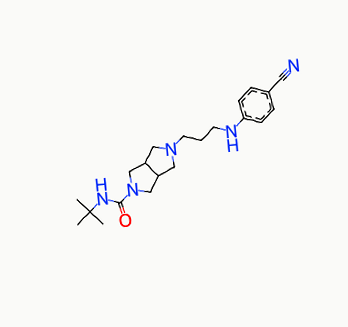 CC(C)(C)NC(=O)N1CC2CN(CCCNc3ccc(C#N)cc3)CC2C1